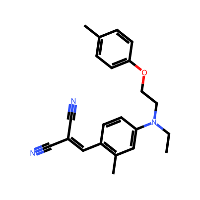 CCN(CCOc1ccc(C)cc1)c1ccc(C=C(C#N)C#N)c(C)c1